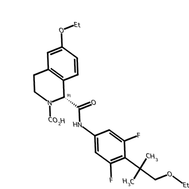 CCOCC(C)(C)c1c(F)cc(NC(=O)[C@H]2c3ccc(OCC)cc3CCN2C(=O)O)cc1F